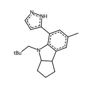 Cc1cc(-c2ccn[nH]2)c2c(c1)C1CCCC1N2CC(C)(C)C